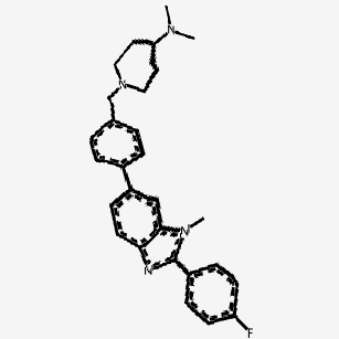 CN(C)C1CCN(Cc2ccc(-c3ccc4nc(-c5ccc(F)cc5)n(C)c4c3)cc2)CC1